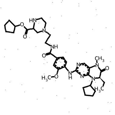 CC[C@@H]1C(=O)N(C)c2cnc(Nc3ccc(C(=O)NCCN4CCNC(C(=O)OC5CCCC5)C4)cc3OC)nc2N1C1CCCC1